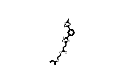 C=CC(=C)OCCOC(=O)CCc1nc(-c2cccc(-c3noc(C)n3)c2)no1